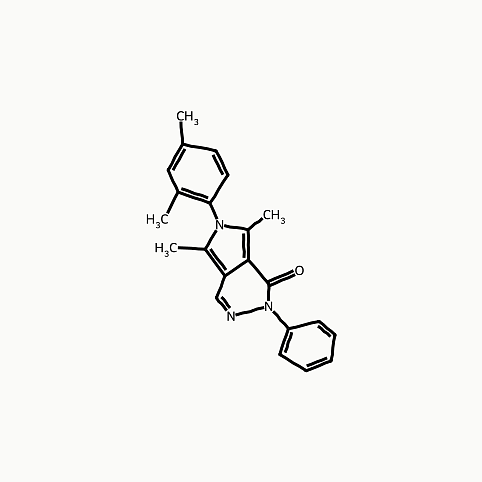 Cc1ccc(-n2c(C)c3cnn(-c4ccccc4)c(=O)c3c2C)c(C)c1